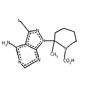 CC1(n2nc(I)c3c(N)ncnc32)CCCCN1C(=O)O